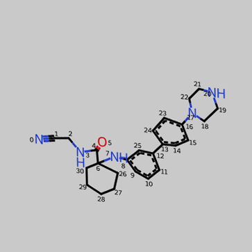 N#CCNC(=O)C1(Nc2cccc(-c3ccc(N4CCNCC4)cc3)c2)CCCCC1